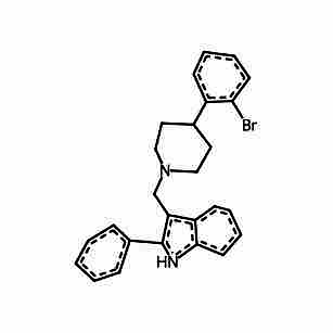 Brc1ccccc1C1CCN(Cc2c(-c3ccccc3)[nH]c3ccccc23)CC1